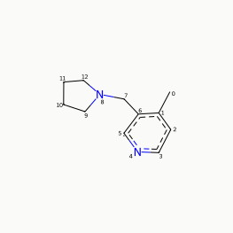 Cc1ccn[c]c1CN1CCCC1